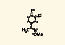 CON=C(C)c1ccc(F)c(Cl)c1